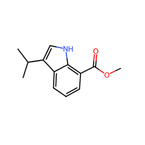 COC(=O)c1cccc2c(C(C)C)c[nH]c12